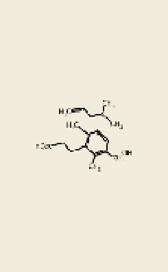 C=CCN(C)C.CCCCCCCCCCCCc1c(C)ccc(C)c1C.Cl